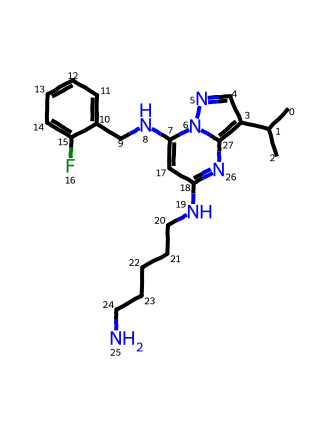 CC(C)c1cnn2c(NCc3ccccc3F)cc(NCCCCCN)nc12